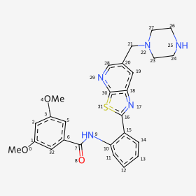 COc1cc(OC)cc(C(=O)Nc2ccccc2-c2nc3cc(CN4CCNCC4)cnc3s2)c1